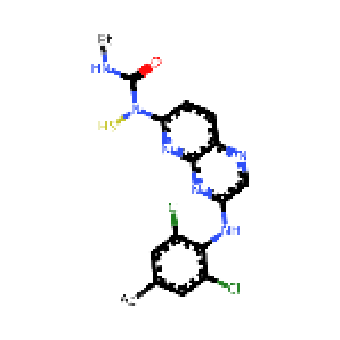 CCNC(=O)N(S)c1ccc2ncc(Nc3c(Cl)cc(C(C)=O)cc3Cl)nc2n1